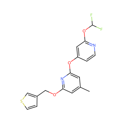 Cc1cc(OCc2ccsc2)nc(Oc2ccnc(OC(F)F)c2)c1